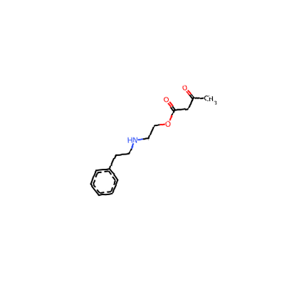 CC(=O)CC(=O)OCCNCCc1ccccc1